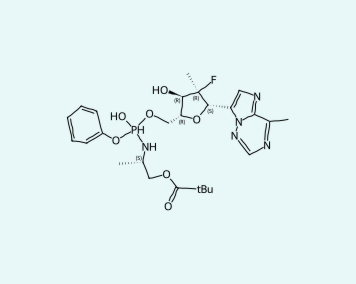 Cc1ncnn2c([C@@H]3O[C@H](CO[PH](O)(N[C@@H](C)COC(=O)C(C)(C)C)Oc4ccccc4)[C@@H](O)[C@@]3(C)F)cnc12